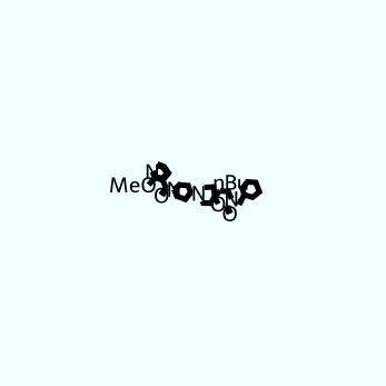 CCCCC1CN(CC2CCCCC2)C(=O)OC12CCN(C1CCN(C(=O)c3cccnc3OC)CC1)CC2